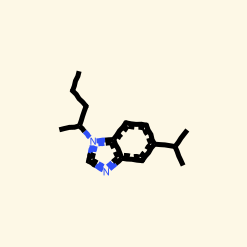 CCCC(C)n1cnc2cc(C(C)C)ccc21